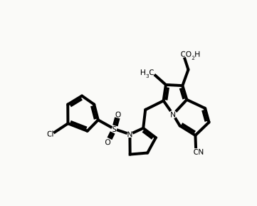 Cc1c(CC(=O)O)c2ccc(C#N)cn2c1CC1=CCCN1S(=O)(=O)c1cccc(Cl)c1